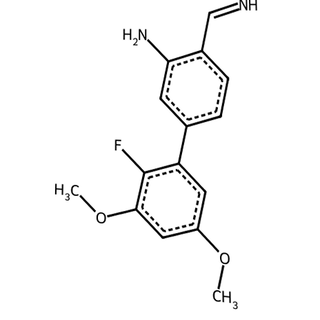 COc1cc(OC)c(F)c(-c2ccc(C=N)c(N)c2)c1